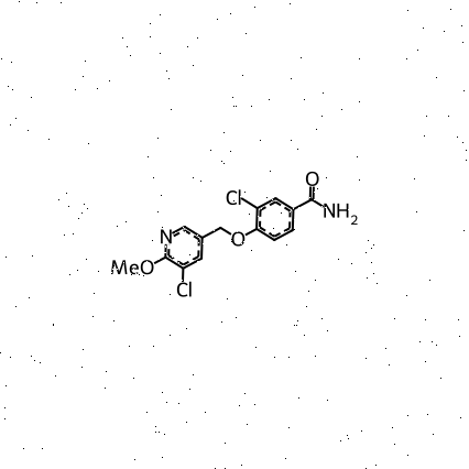 COc1ncc(COc2ccc(C(N)=O)cc2Cl)cc1Cl